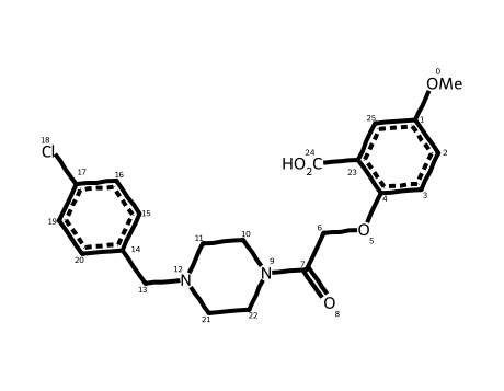 COc1ccc(OCC(=O)N2CCN(Cc3ccc(Cl)cc3)CC2)c(C(=O)O)c1